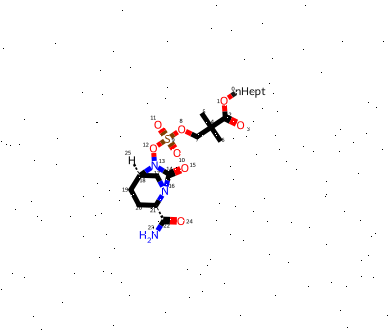 CCCCCCCOC(=O)C(C)(C)COS(=O)(=O)ON1C(=O)N2C[C@H]1CC[C@H]2C(N)=O